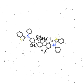 Cc1cc(N(c2ccccc2)c2csc3ccccc23)cc2c1-c1ccc3c(c1C2(C)C)C(C)(C)c1cc(N(c2ccccc2)c2csc4ccccc24)cc(C)c1-3